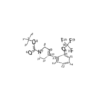 CC(C)(C)OC(=O)N1CC=C(c2ccccc2OC(F)(F)F)CC1